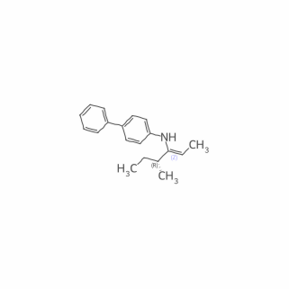 C/C=C(\Nc1ccc(-c2ccccc2)cc1)[C@H](C)CC